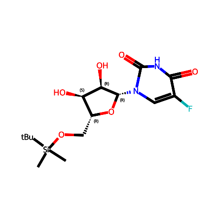 CC(C)(C)[Si](C)(C)OC[C@H]1O[C@@H](n2cc(F)c(=O)[nH]c2=O)[C@H](O)[C@@H]1O